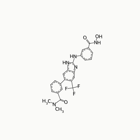 CN(C)C(=O)c1cccc(-c2cc3[nH]c(Nc4cccc(C(=O)NO)c4)nc3cc2C(F)(F)F)c1